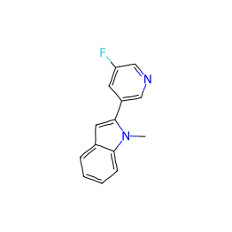 Cn1c(-c2cncc(F)c2)cc2ccccc21